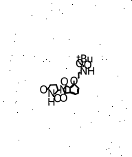 CC(C)(C)OC(=O)NCCOc1cccc2c1C(=O)N(C1CCC(=O)NC1=O)C2=O